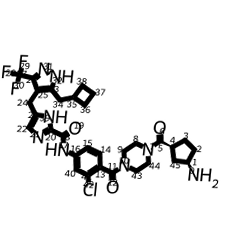 N[C@@H]1CC[C@H](C(=O)N2CCN(C(=O)c3ccc(NC(=O)c4ncc(Cc5c(C(F)(F)F)n[nH]c5CC5CCC5)[nH]4)cc3Cl)CC2)C1